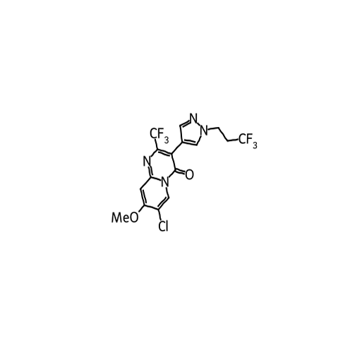 COc1cc2nc(C(F)(F)F)c(-c3cnn(CCC(F)(F)F)c3)c(=O)n2cc1Cl